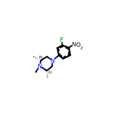 C[C@@H]1CN(c2ccc([N+](=O)[O-])c(F)c2)C[C@H](C)N1C